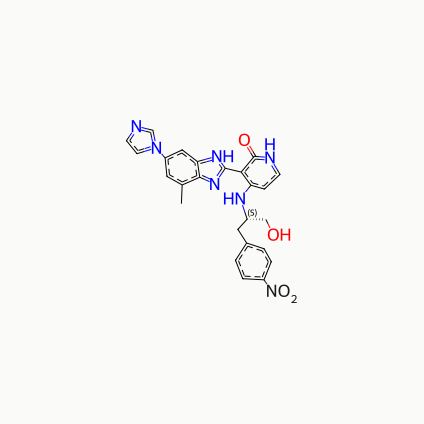 Cc1cc(-n2ccnc2)cc2[nH]c(-c3c(N[C@H](CO)Cc4ccc([N+](=O)[O-])cc4)cc[nH]c3=O)nc12